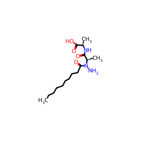 CCCCCCCCCC(=O)N(N)[C@H](C)C(=O)N[C@H](C)C(=O)O